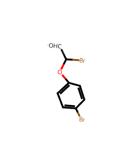 O=[C]C(Br)Oc1ccc(Br)cc1